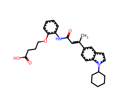 CC(=CC(=O)Nc1ccccc1OCCCC(=O)O)c1ccc2c(ccn2C2CCCCC2)c1